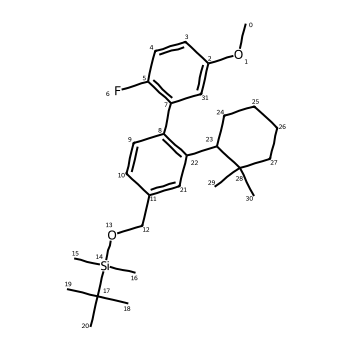 COc1ccc(F)c(-c2ccc(CO[Si](C)(C)C(C)(C)C)cc2C2CCCCC2(C)C)c1